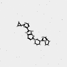 c1cc(-c2nc3ccc(N4CCC[C@H](c5ncc6n5CCC6)C4)nc3[nH]2)nc(C2CC2)n1